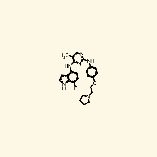 Cc1cnc(Nc2ccc(OCCN3CCCC3)cc2)nc1Nc1ccc(F)c2[nH]ccc12